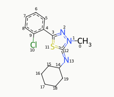 Cn1nc(-c2ccccc2Cl)sc1=NC1CCCCC1